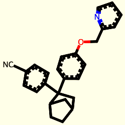 N#Cc1ccc(C2(c3ccc(OCc4ccccn4)cc3)CC3CCC2C3)cc1